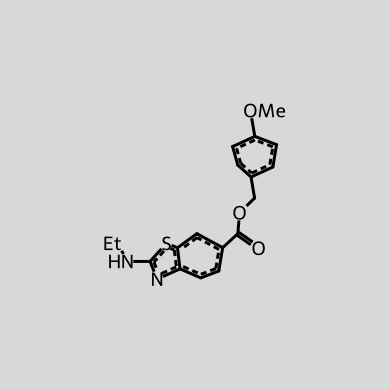 CCNc1nc2ccc(C(=O)OCc3ccc(OC)cc3)cc2s1